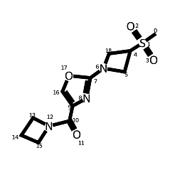 CS(=O)(=O)C1CN(c2nc(C(=O)N3CCC3)co2)C1